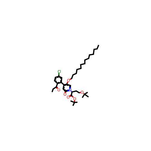 CCCCCCCCCCCCCCOc1cn(C(CCOC(C)(C)C)C(=O)OC(C)(C)C)c(=O)cc1-c1cc(Cl)ccc1C(=O)CC